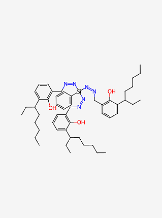 CCCCCC(CC)c1cccc(C/N=N\[Si](/N=N\Cc2cccc(C(CC)CCCCC)c2O)(/N=N\Cc2cccc(C(CC)CCCCC)c2O)c2ccccc2)c1O